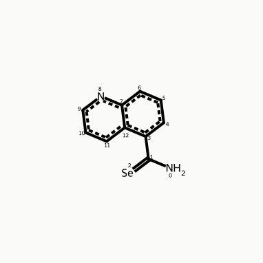 NC(=[Se])c1cccc2ncccc12